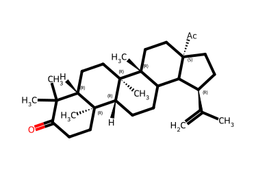 C=C(C)[C@@H]1CC[C@]2(C(C)=O)CC[C@]3(C)C(CC[C@@H]4[C@@]5(C)CCC(=O)C(C)(C)[C@@H]5CC[C@]43C)C12